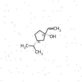 C=C[C@]1(O)CC[C@@H](C(C)C)C1